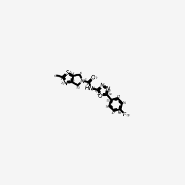 Cc1nc2c(s1)CN(C(=O)Nc1nnc(-c3ccc(F)cc3)o1)C2